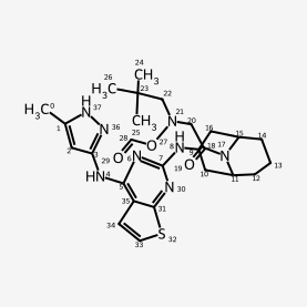 Cc1cc(Nc2nc(NC3CC4CCCC(C3)N4C(=O)CN(CC(C)(C)C)OC=O)nc3sccc23)n[nH]1